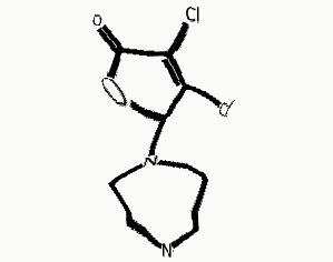 O=C1OC(N2CC[N]CC2)C(Cl)=C1Cl